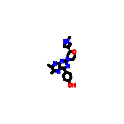 Cc1nc2nc(N3CCO[C@@H](c4cnn(C)c4)C3)nc(C3CCC(O)CC3)c2nc1C